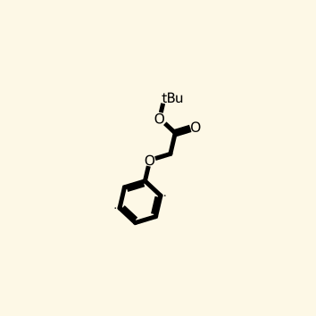 CC(C)(C)OC(=O)COc1[c]cc[c]c1